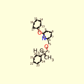 C[Si](C)(COCc1cccc(Oc2ccccc2)n1)c1ccccc1